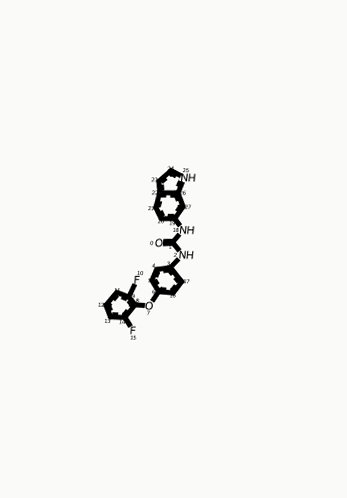 O=C(Nc1ccc(Oc2c(F)cccc2F)cc1)Nc1ccc2cc[nH]c2c1